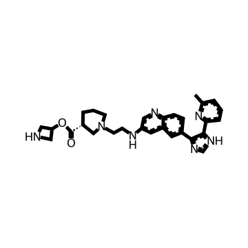 Cc1cccc(-c2[nH]cnc2-c2ccc3ncc(NCCN4CCC[C@@H](C(=O)OC5CNC5)C4)cc3c2)n1